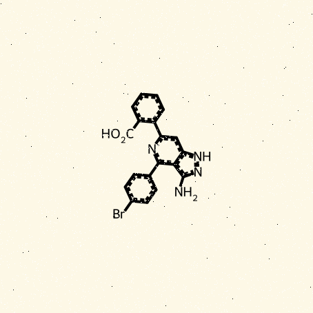 Nc1n[nH]c2cc(-c3ccccc3C(=O)O)nc(-c3ccc(Br)cc3)c12